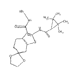 CCCNC(=O)c1c(NC(=O)C2C(C)(C)C2(C)C)sc2c1CCC1(C2)OCCO1